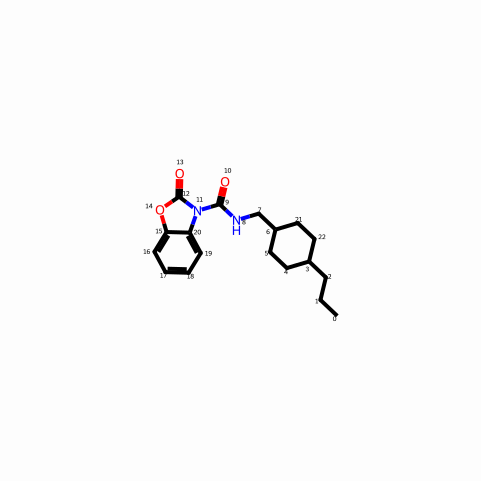 CCCC1CCC(CNC(=O)n2c(=O)oc3ccccc32)CC1